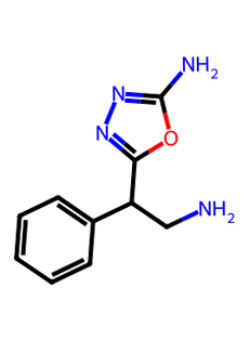 NCC(c1ccccc1)c1nnc(N)o1